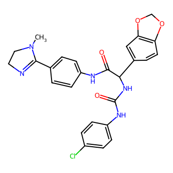 CN1CCN=C1c1ccc(NC(=O)C(NC(=O)Nc2ccc(Cl)cc2)c2ccc3c(c2)OCO3)cc1